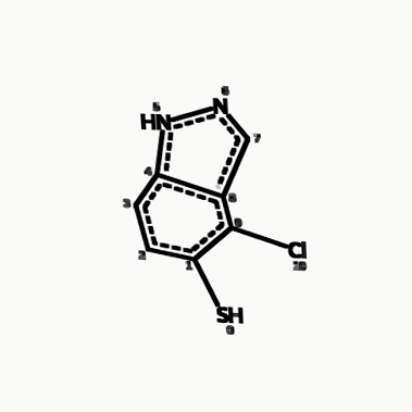 Sc1ccc2[nH]ncc2c1Cl